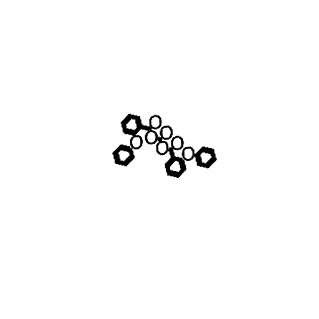 O=C(OC(=O)c1ccccc1Oc1ccccc1)OC(=O)c1ccccc1Oc1ccccc1